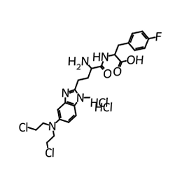 Cl.Cl.Cn1c(CCC(N)C(=O)NC(Cc2ccc(F)cc2)C(=O)O)nc2cc(N(CCCl)CCCl)ccc21